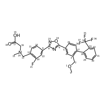 COCc1cc(-c2nc(-c3ccc(CN(C)CC(=O)O)c(F)c3)no2)ccc1-c1ccccc1C(F)(F)F